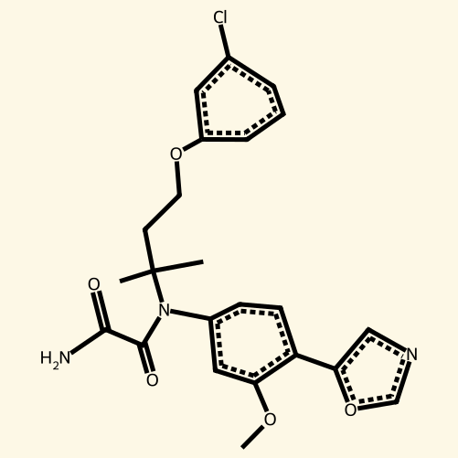 COc1cc(N(C(=O)C(N)=O)C(C)(C)CCOc2cccc(Cl)c2)ccc1-c1cnco1